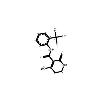 O=C1NCCC(O)=C1C(=S)Nc1ccccc1C(F)(F)F